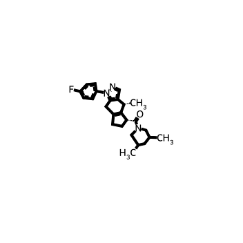 CC1CC(C)CN(C(=O)[C@@H]2CCC3=C2[C@@H](C)c2cnn(-c4ccc(F)cc4)c2C3)C1